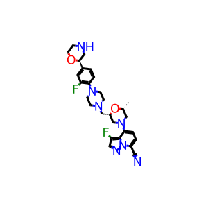 C[C@@H]1CN(c2ccc(C#N)n3ncc(F)c23)C[C@H](CN2CCN(c3ccc([C@@H]4CNCCO4)cc3F)CC2)O1